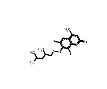 Cc1cc(=O)oc2c(F)c(OSCC(N)CC(C)O)c(F)cc12